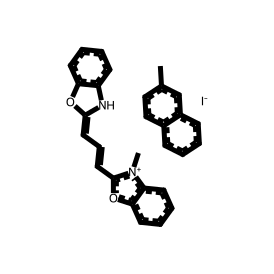 C[n+]1c(C=CC=C2Nc3ccccc3O2)oc2ccccc21.Cc1ccc2ccccc2c1.[I-]